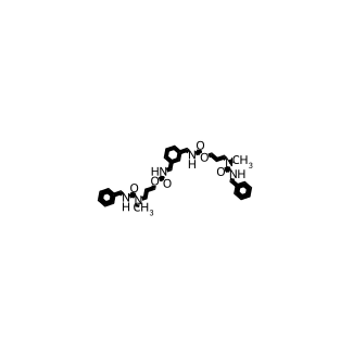 CN(CCCOC(=O)NCC1CCCC(CNC(=O)OCCCN(C)C(=O)NCc2ccccc2)C1)C(=O)NCc1ccccc1